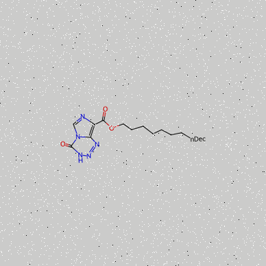 CCCCCCCCCCCCCCCCCOC(=O)c1ncn2c(=O)[nH]nnc12